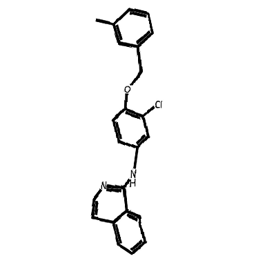 Cc1cccc(COc2ccc(Nc3nccc4ccccc34)cc2Cl)c1